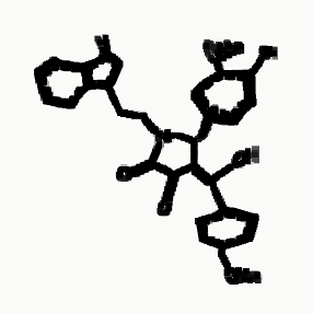 COc1ccc(C(O)=C2C(=O)C(=O)N(CCc3c[nH]c4ccccc34)[C@H]2c2ccc(O)c(OC)c2)cc1